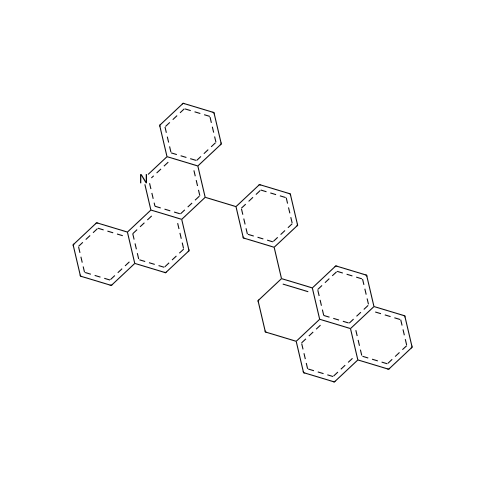 c1cc(C2=c3ccc4cccc5ccc(c3c54)CC2)cc(-c2c3ccccc3nc3c2ccc2ccccc23)c1